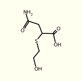 NC(=O)CC(SCCO)C(=O)O